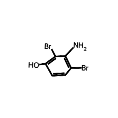 Nc1c(Br)ccc(O)c1Br